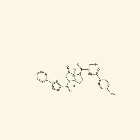 CC(C)C[C@H](NC(=O)c1ccc(C(C)(C)C)cc1)C(=O)N1CC[C@@H]2[C@H]1C(=O)CN2C(=O)c1csc(-c2ccccc2)n1